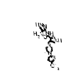 C[C@@H]1CN(Cc2c[nH]nc2C(=O)Nc2n[nH]cc2N)CCN1c1ccc(C(F)(F)F)cn1